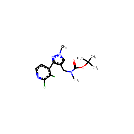 CN(Cc1cn(C)nc1-c1ccnc(Cl)c1F)C(=O)OC(C)(C)C